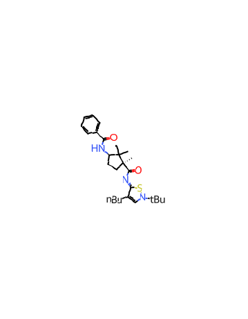 CCCCc1cn(C(C)(C)C)s/c1=N\C(=O)[C@@]1(C)CC[C@@H](NC(=O)c2ccccc2)C1(C)C